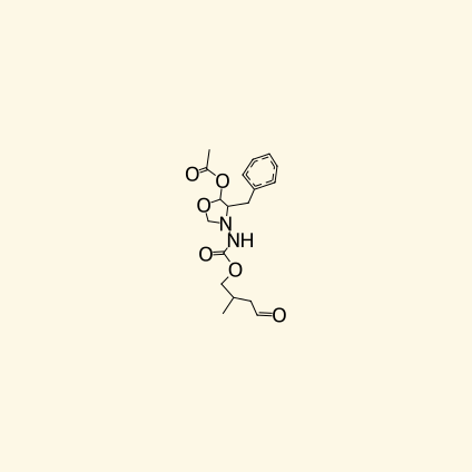 CC(=O)OC1OCN(NC(=O)OCC(C)CC=O)C1Cc1ccccc1